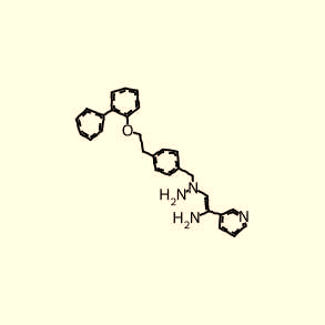 N/C(=C\N(N)Cc1ccc(CCOc2ccccc2-c2ccccc2)cc1)c1cccnc1